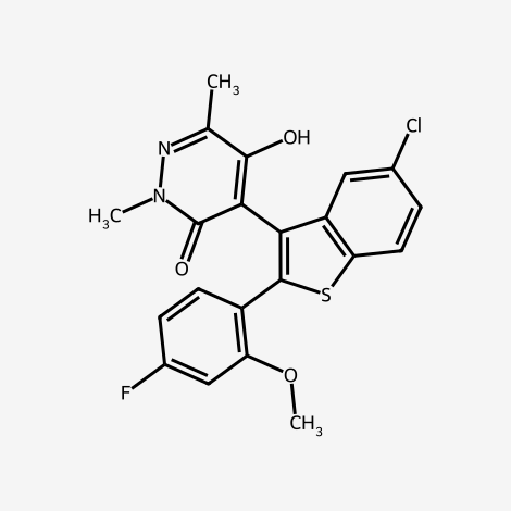 COc1cc(F)ccc1-c1sc2ccc(Cl)cc2c1-c1c(O)c(C)nn(C)c1=O